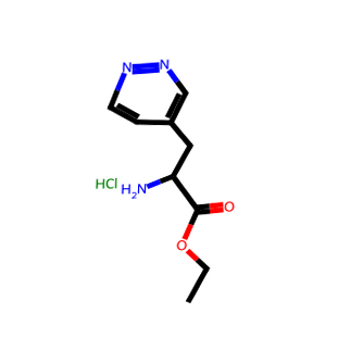 CCOC(=O)C(N)Cc1ccnnc1.Cl